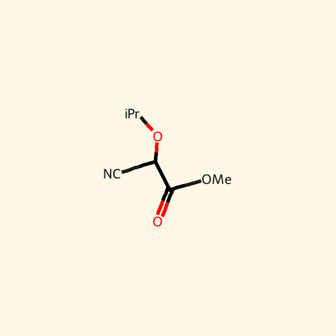 [CH2]OC(=O)C(C#N)OC(C)C